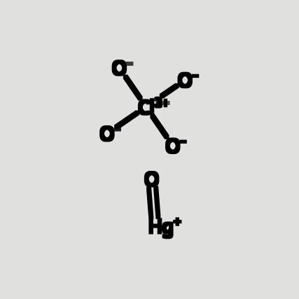 [O-][Cl+3]([O-])([O-])[O-].[O]=[Hg+]